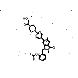 C[C@@H]1CN(C(=O)CO)CCN1c1ncc(-c2cc3c(cc2F)c(=O)n(C)n3Cc2ccccc2OC(F)F)cn1